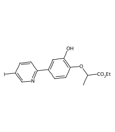 CCOC(=O)C(C)Oc1ccc(-c2ccc(I)cn2)cc1O